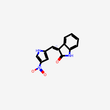 O=C1Nc2ccccc2/C1=C/c1cc([N+](=O)[O-])c[nH]1